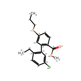 CCCSc1ccc(C(=O)SC)c(-c2cc(F)ccc2CC)c1